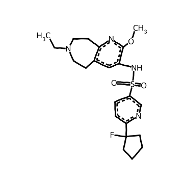 CCN1CCc2cc(NS(=O)(=O)c3ccc(C4(F)CCCC4)nc3)c(OC)nc2CC1